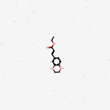 CCOC(=O)/C=C/c1ccc2c(c1)OCCO2